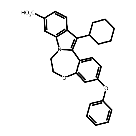 O=C(O)c1ccc2c(C3CCCCC3)c3n(c2c1)CCOc1cc(Oc2ccccc2)ccc1-3